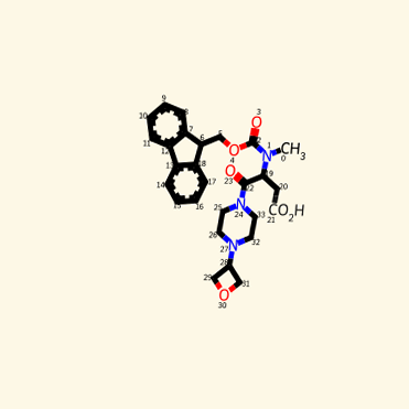 CN(C(=O)OCC1c2ccccc2-c2ccccc21)C(CC(=O)O)C(=O)N1CCN(C2COC2)CC1